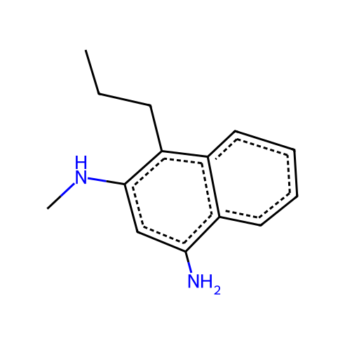 CCCc1c(NC)cc(N)c2ccccc12